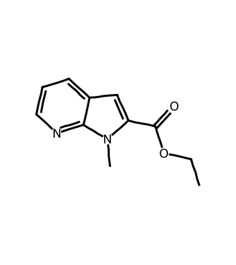 CCOC(=O)c1cc2cccnc2n1C